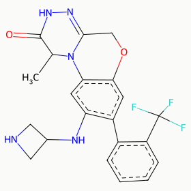 CC1C(=O)NN=C2COc3cc(-c4ccccc4C(F)(F)F)c(NC4CNC4)cc3N21